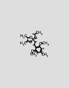 CCO[Si](CCc1c(OC)cc(C)cc1OC)(OCC)OCC